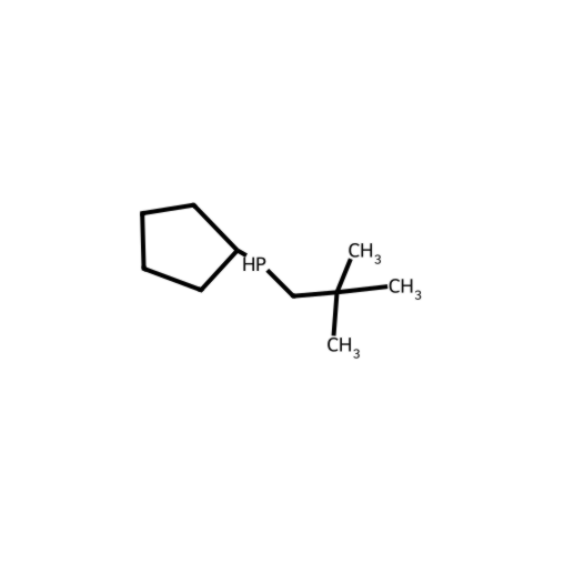 CC(C)(C)CPC1CCCC1